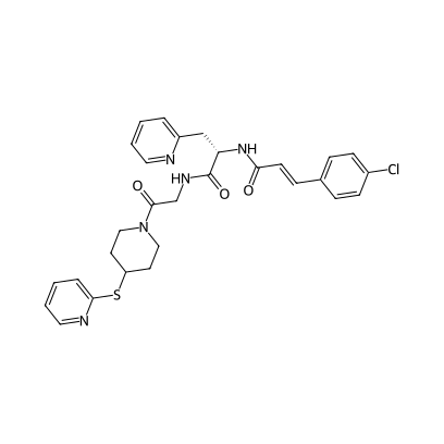 O=C(C=Cc1ccc(Cl)cc1)N[C@@H](Cc1ccccn1)C(=O)NCC(=O)N1CCC(Sc2ccccn2)CC1